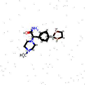 CN1CCN(C(C(N)=O)c2ccc([As]3SCCS3)cc2)CC1